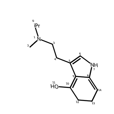 CC(C)N(C)CCc1c[nH]c2c1=C(O)CCC=2